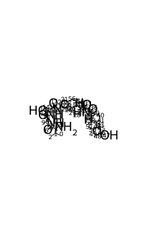 CC(C)[C@H](N)C(=O)N[C@@H](C)C(=O)N[C@@H](CO)C(=O)Nc1ccc2c(c1)[C@@]1(C)CCC[C@](C)(C(=O)NC(=O)[C@@]3(C)CCC[C@]4(C)c5cc(O)ccc5CC[C@@H]34)[C@@H]1CC2